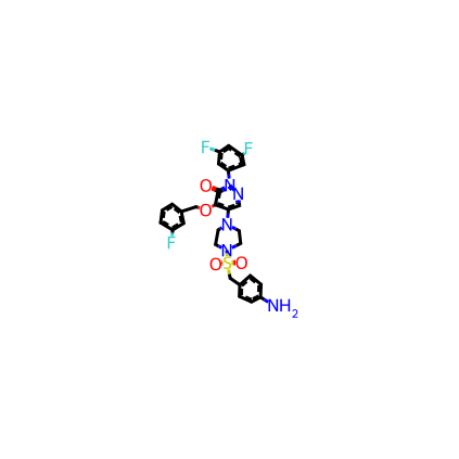 Nc1ccc(CS(=O)(=O)N2CCN(c3cnn(-c4cc(F)cc(F)c4)c(=O)c3OCc3cccc(F)c3)CC2)cc1